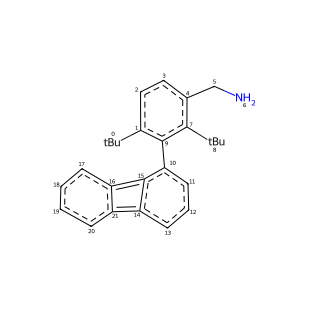 CC(C)(C)c1ccc(CN)c(C(C)(C)C)c1-c1cccc2c1=c1ccccc1=2